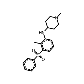 Cc1c(NC2CCN(C)CC2)cccc1S(=O)(=O)c1ccccc1